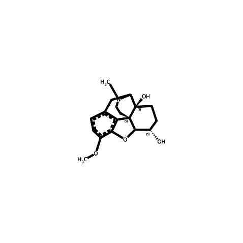 COc1ccc2c3c1OC1[C@@H](O)CC[C@@]4(O)C(C2)N(C)CC[C@]314